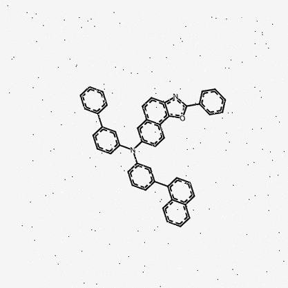 c1ccc(-c2cccc(N(c3cccc(-c4cccc5ccccc45)c3)c3ccc4c(ccc5nc(-c6ccccc6)oc54)c3)c2)cc1